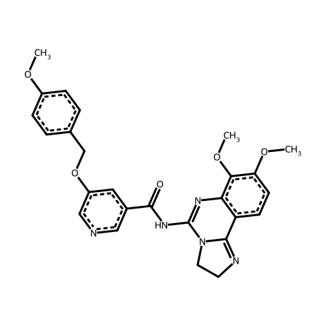 COc1ccc(COc2cncc(C(=O)NC3=Nc4c(ccc(OC)c4OC)C4=NCCN34)c2)cc1